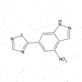 O=[N+]([O-])c1cc(-c2ncns2)cc2[nH]ncc12